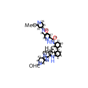 C=C(Nc1cccc(-c2cccc(NC(=O)c3cc4c(cn3)CN(c3ccnc(OC)c3)O4)c2C)c1C)c1nc2c(n1C)CCN(C=O)C2